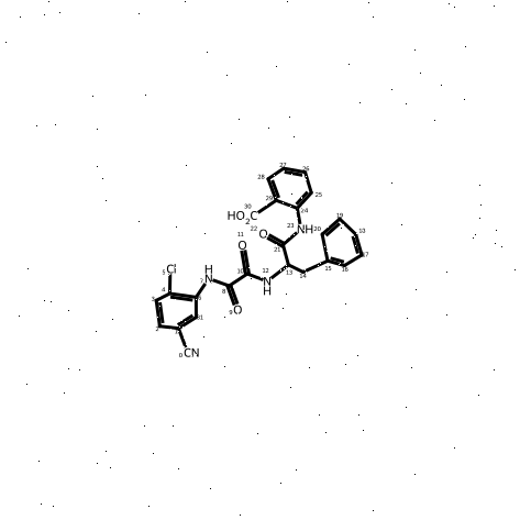 N#Cc1ccc(Cl)c(NC(=O)C(=O)NC(Cc2ccccc2)C(=O)Nc2ccccc2C(=O)O)c1